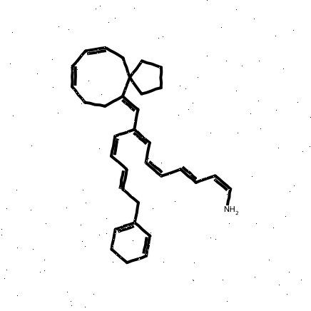 N/C=C\C=C\C=C/C=C(\C=C/C=C/CC1=CCCC=C1)/C=C1\CC/C=C\C=C/CC12CCCC2